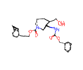 O=C(NC1CN(C(=O)OCc2ccccc2)CCCC1CO)OCc1ccccc1